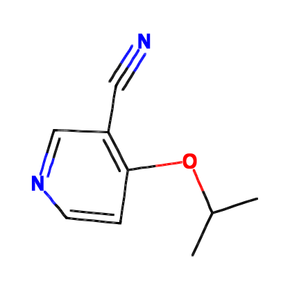 CC(C)Oc1ccncc1C#N